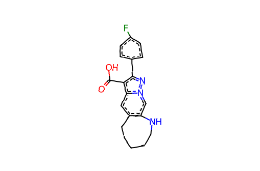 O=C(O)c1c(-c2ccc(F)cc2)nn2cc3c(cc12)CCCCCN3